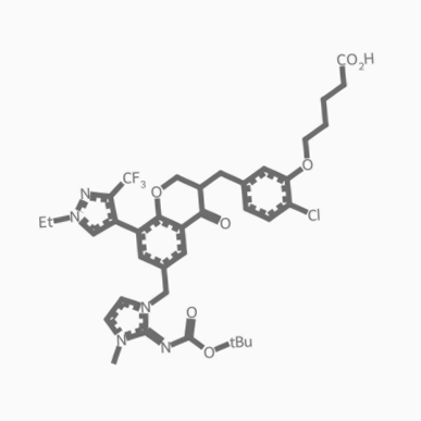 CCn1cc(-c2cc(Cn3ccn(C)/c3=N/C(=O)OC(C)(C)C)cc3c2OCC(Cc2ccc(Cl)c(OCCCCC(=O)O)c2)C3=O)c(C(F)(F)F)n1